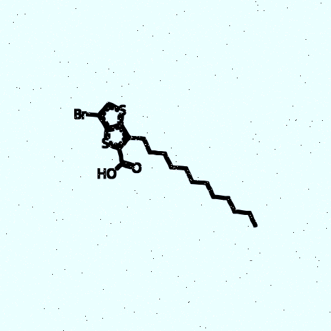 CCCCCCCCCCCCc1c(C(=O)O)sc2c(Br)csc12